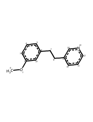 COc1cccc(CCc2cccnc2)c1